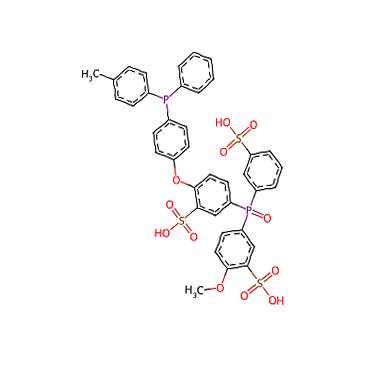 COc1ccc(P(=O)(c2cccc(S(=O)(=O)O)c2)c2ccc(Oc3ccc(P(c4ccccc4)c4ccc(C)cc4)cc3)c(S(=O)(=O)O)c2)cc1S(=O)(=O)O